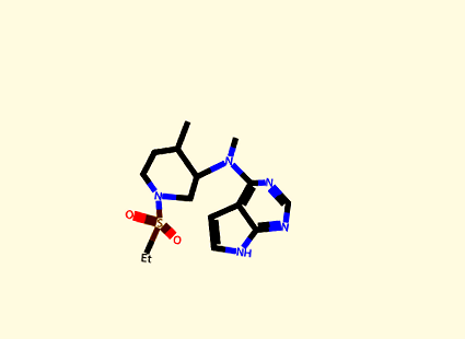 CCS(=O)(=O)N1CCC(C)C(N(C)c2ncnc3[nH]ccc23)C1